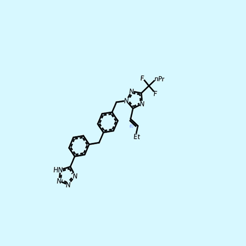 CC/C=C/c1nc(C(F)(F)CCC)nn1Cc1ccc(Cc2cccc(-c3nnn[nH]3)c2)cc1